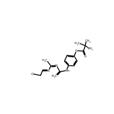 BC(C)(C)C(=O)Oc1ccc(NC(=C)/N=C(C)\N=C\CCl)cc1